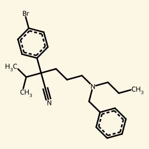 CCCN(CCCC(C#N)(c1ccc(Br)cc1)C(C)C)Cc1ccccc1